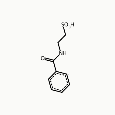 O=C(NCCS(=O)(=O)O)c1[c]cccc1